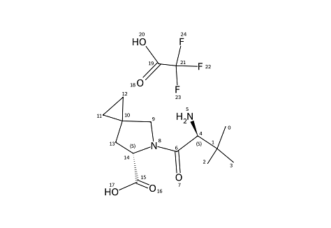 CC(C)(C)[C@H](N)C(=O)N1CC2(CC2)C[C@H]1C(=O)O.O=C(O)C(F)(F)F